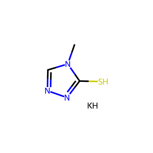 Cn1cnnc1S.[KH]